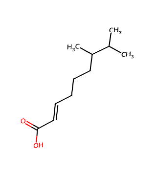 CC(C)C(C)CCCC=CC(=O)O